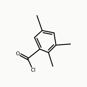 Cc1cc(C)c(C)c(C(=O)Cl)c1